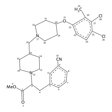 COC(=O)C(Cc1cccc(C#N)c1)N1CCC(CN2CCC(Oc3ccc(Cl)c(Cl)c3C)CC2)CC1